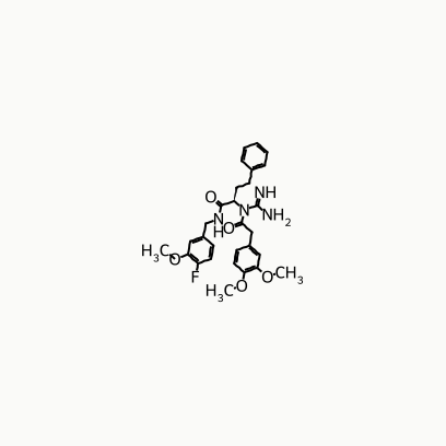 COc1cc(CNC(=O)[C@@H](CCc2ccccc2)N(C(=N)N)C(=O)Cc2ccc(OC)c(OC)c2)ccc1F